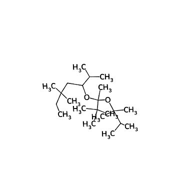 CCC(C)(C)CC(OC(C)(OC(C)(C)C(C)C)C(C)(C)C)C(C)C